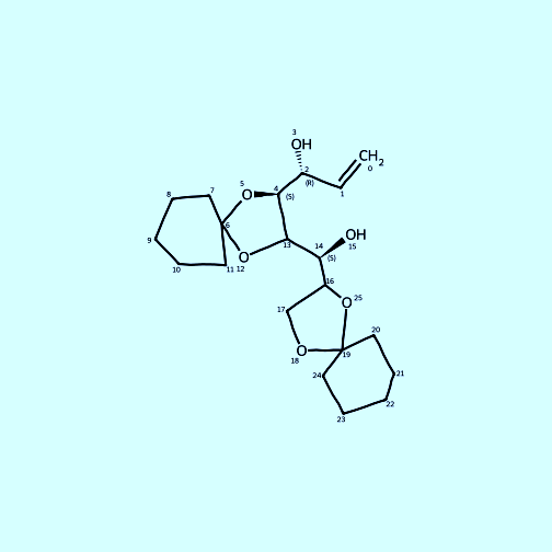 C=C[C@@H](O)[C@@H]1OC2(CCCCC2)OC1[C@@H](O)C1COC2(CCCCC2)O1